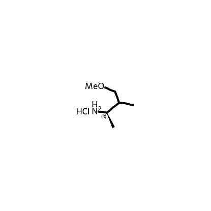 COCC(C)[C@@H](C)N.Cl